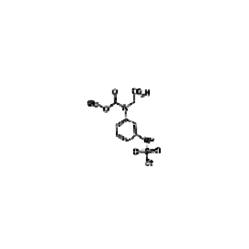 CCS(=O)(=O)Nc1cccc(N(CC(=O)O)C(=O)OC(C)(C)C)c1